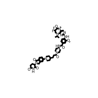 COc1cc(C(=O)NN2CCN(C(=O)CCC3CCN(c4ccc5c(c4)CN(C4CCC(=O)NC4=O)C5=O)CC3)CC2)ccc1Nc1ncc2c(n1)N(C(C)C)CC(F)(F)C(=O)N2C